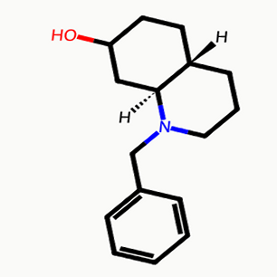 OC1CC[C@@H]2CCCN(Cc3ccccc3)[C@H]2C1